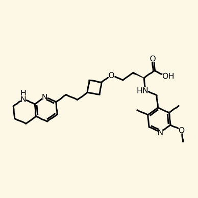 COc1ncc(C)c(CN[C@@H](CCOC2CC(CCc3ccc4c(n3)NCCC4)C2)C(=O)O)c1C